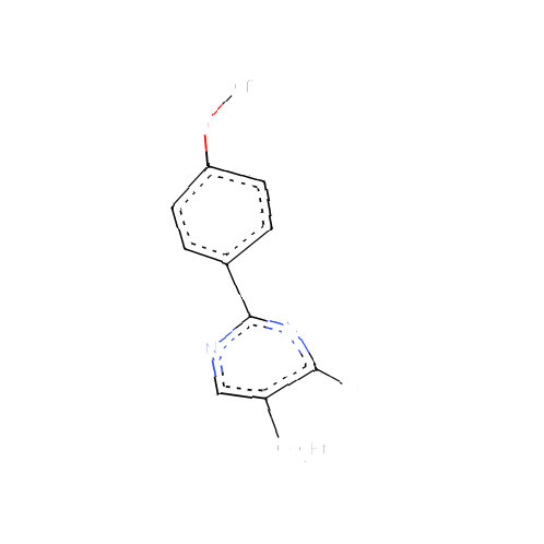 CCOC(=O)c1cnc(-c2ccc(OC(F)(F)F)cc2)nc1C(F)(F)F